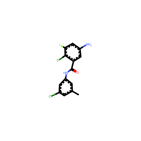 Cc1cc(Cl)cc(NC(=O)c2cc(N)cc(F)c2Cl)c1